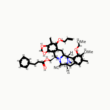 C=CCOc1c(C)c2c(c3c1CC1[C@@H]4c5c(cc(C)c(OC)c5OCOC)C[C@H](C(C#N)N1[C@H]3COC(=O)CCc1ccccc1)N4C)OCO2